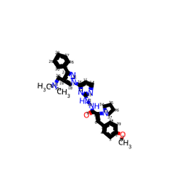 COc1ccc(C=C(C(=O)NNc2nccc(-n3cc(CN(C)C)c(-c4ccccc4)n3)n2)N2CCCC2)cc1